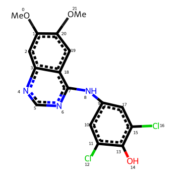 COc1cc2ncnc(Nc3cc(Cl)c(O)c(Cl)c3)c2cc1OC